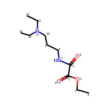 CCOC(=O)C(=O)NCCCN(CC)CC